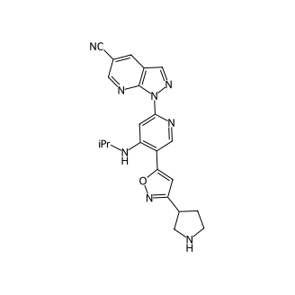 CC(C)Nc1cc(-n2ncc3cc(C#N)cnc32)ncc1-c1cc(C2CCNC2)no1